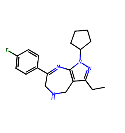 CCc1nn(C2CCCC2)c2c1CNCC(c1ccc(F)cc1)=N2